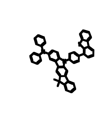 CC1(C)c2ccccc2-c2cc3c(cc21)c1cc(N(c2ccccc2)c2ccccc2)ccc1n3-c1ccc(-c2cccc3c2sc2ccccc23)cc1